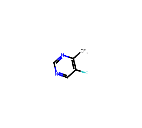 Fc1[c]ncnc1C(F)(F)F